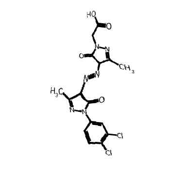 CC1=NN(CC(=O)O)C(=O)C1N=NC1C(=O)N(c2ccc(Cl)c(Cl)c2)N=C1C